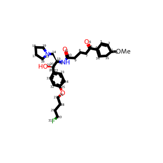 COC1C=CC(C(=O)CCCC(=O)N[C@H](CN2CCCC2)[C@H](O)c2ccc(OCCCCF)cc2)=CC1